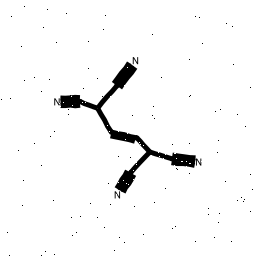 N#CC(C#N)C=CC(C#N)C#N